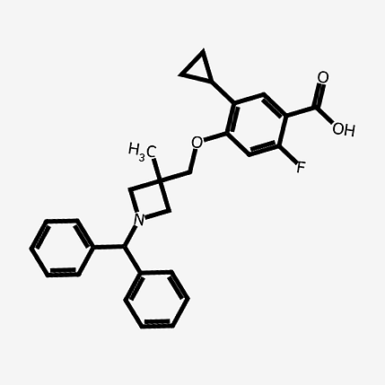 CC1(COc2cc(F)c(C(=O)O)cc2C2CC2)CN(C(c2ccccc2)c2ccccc2)C1